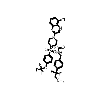 CCC(F)(F)c1ccc(CNC(=O)[C@H]2CN(c3cnc4c(Cl)cccc4n3)CCN2S(=O)(=O)c2ccc(OC(F)(F)F)cc2)cc1